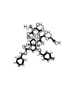 C#CCO[C@H](C)[C@H](NC(=O)[C@H](C)N(C)C(=O)OC(C)(C)C)C(=O)N1CC[C@@H]2[C@H]1[C@@H](OCc1ccc(F)cc1)CN2C(=O)OCc1ccccc1